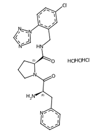 Cl.Cl.Cl.N[C@H](Cc1ccccn1)C(=O)N1CCC[C@H]1C(=O)NCc1cc(Cl)ccc1-n1cncn1